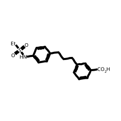 CCS(=O)(=O)Nc1ccc(CCCc2cccc(C(=O)O)c2)cc1